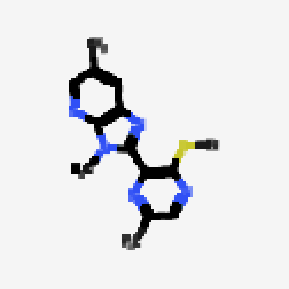 CCSc1ncc(C(F)(F)F)nc1-c1nc2cc(C(F)(F)F)cnc2n1C